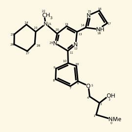 CNCC(O)COc1cccc(-c2nc(-c3ncc[nH]3)cc(N(C)C3CCCCC3)n2)c1